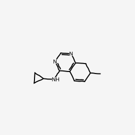 CC1C=Cc2c(ncnc2NC2CC2)C1